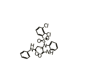 O=C(C[C@@H]1C(=O)Nc2ccccc2N1S(=O)(=O)c1cccc(Cl)c1Cl)Nc1ccccc1